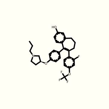 CCCN1CC[C@H](Oc2ccc(C3=C(c4ccc(OC(F)(F)F)cc4F)CCCc4cc(O)ccc43)cc2)C1